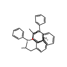 CC(Cc1cccc(P)c1CC(C)P(c1ccccc1)c1ccccc1)P(c1ccccc1)c1ccccc1